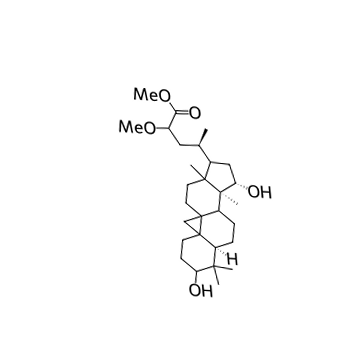 COC(=O)C(C[C@@H](C)C1C[C@H](O)[C@@]2(C)C3CC[C@H]4C(C)(C)C(O)CCC45CC35CCC12C)OC